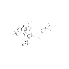 CC(C)OC(=O)c1cc(-c2nn(C)c(C(F)(F)F)c2Br)c(F)cc1Cl.CP(=O)(O)CCC(N)C(=O)O.CS(=O)(=O)c1cc(C(F)(F)F)ccc1C(=O)c1cnoc1C1CC1